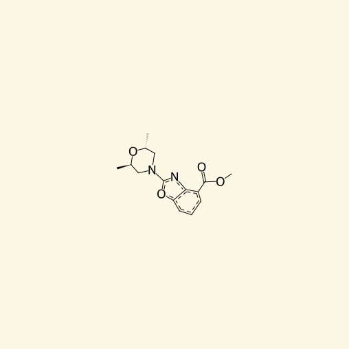 COC(=O)c1cccc2oc(N3C[C@@H](C)O[C@H](C)C3)nc12